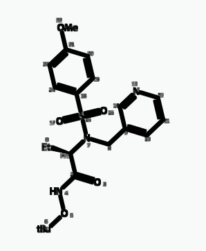 CC[C@H](C(=O)NOC(C)(C)C)N(Cc1cccnc1)S(=O)(=O)c1ccc(OC)cc1